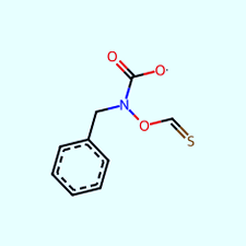 [O]C(=O)N(Cc1ccccc1)OC=S